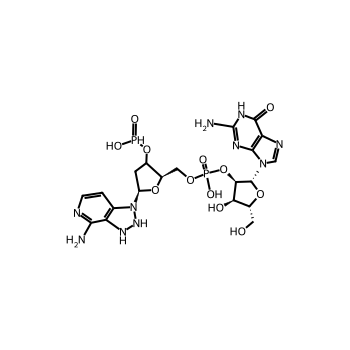 Nc1nc2c(ncn2[C@@H]2O[C@H](CO)[C@@H](O)[C@H]2OP(=O)(O)OC[C@H]2O[C@@H](N3NNc4c3ccnc4N)CC2O[PH](=O)O)c(=O)[nH]1